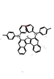 Cc1ccc(N(c2ccccc2)c2cc3ccccc3c3c2sc2c(N(c4ccccc4)c4ccc(C)cc4)cc4ccccc4c23)cc1